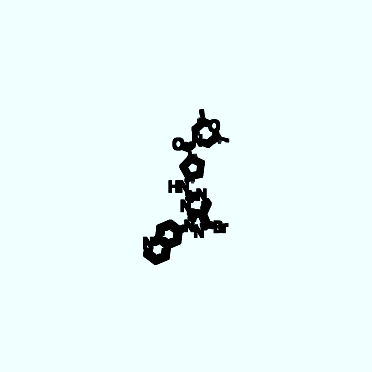 C[C@@H]1CN(C(=O)[C@@H]2CC[C@@H](Nc3ncc4c(Br)nn(-c5ccc6ncccc6c5)c4n3)C2)C[C@@H](C)O1